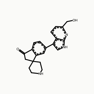 O=C1CC2(CCNCC2)c2cc(-c3c[nH]c4nc(CO)ccc34)ccc21